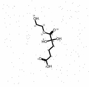 O=C(O)CCCC(O)(O)C(=O)OCCO